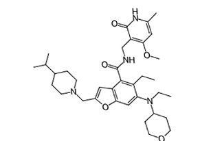 CCc1c(N(CC)C2CCOCC2)cc2oc(CN3CCC(C(C)C)CC3)cc2c1C(=O)NCc1c(OC)cc(C)[nH]c1=O